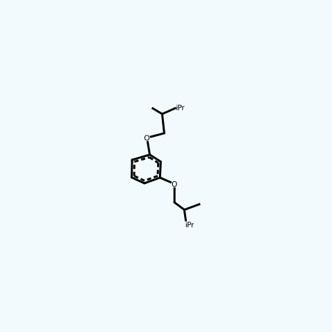 CC(C)C(C)COc1cccc(OCC(C)C(C)C)c1